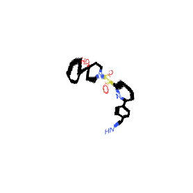 N=Cc1ccc(-c2cccc(S(=O)(=O)N3CCC(O)(c4ccccc4)CC3)n2)cc1